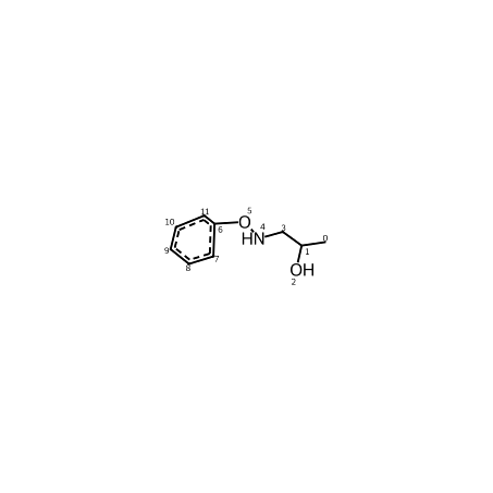 CC(O)CNOc1ccccc1